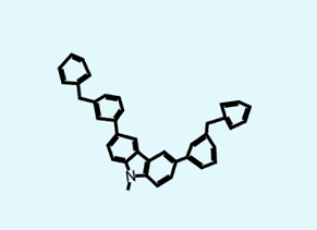 Cn1c2ccc(-c3cccc(Cc4ccccc4)c3)cc2c2cc(-c3cccc(Cc4ccccc4)c3)ccc21